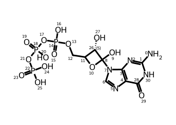 Nc1nc2c(ncn2C2(O)OC(COP(=O)(O)OP(=O)(O)OP(=O)(O)O)[C@@H]2O)c(=O)[nH]1